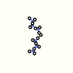 c1ccc(-n2c3ccccc3c3cc(-n4c5ccccc5c5cc6c(cc54)c4ccccc4n6-c4ccc(-c5cccc6cc(-n7c8ccccc8c8cc(-n9c%10ccccc%10c%10cc%11c(cc%109)c9ccccc9n%11-c9ccccc9)ccc87)ccc56)cc4)ccc32)cc1